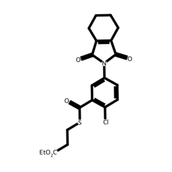 CCOC(=O)CCSC(=O)c1cc(N2C(=O)C3=C(CCCC3)C2=O)ccc1Cl